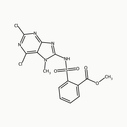 COC(=O)c1ccccc1S(=O)(=O)Nc1nc2nc(Cl)nc(Cl)c2n1C